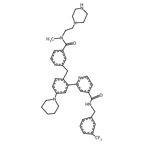 CN(CCN1CCNCC1)C(=O)c1cccc(Cc2ccc(N3CCCCC3)cc2-c2cc(C(=O)NCc3cccc(C(F)(F)F)c3)ccn2)c1